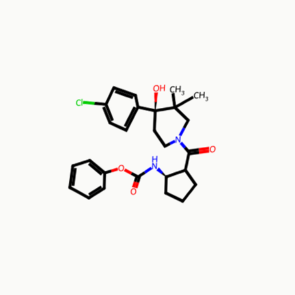 CC1(C)CN(C(=O)C2CCC[C@H]2NC(=O)Oc2ccccc2)CC[C@]1(O)c1ccc(Cl)cc1